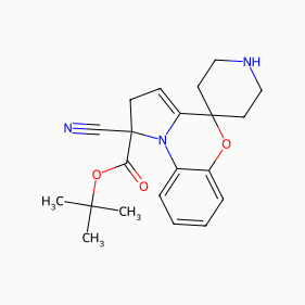 CC(C)(C)OC(=O)C1(C#N)CC=C2N1c1ccccc1OC21CCNCC1